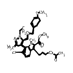 CCn1nc(C)c(-c2c(Cl)ccc3c(CCCOC(C)=O)c(C(=O)OC)n(C)c23)c1COCc1ccc(OC)cc1